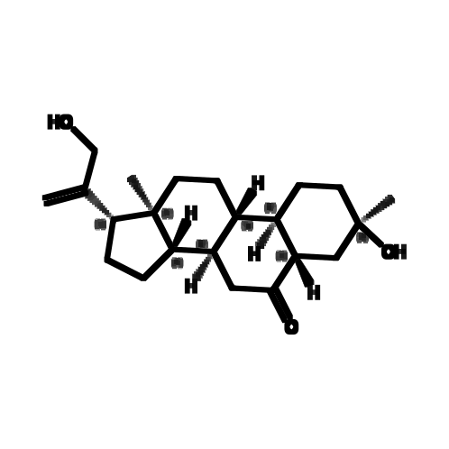 C=C(CO)[C@H]1CC[C@H]2[C@@H]3CC(=O)[C@H]4C[C@](C)(O)CC[C@@H]4[C@H]3CC[C@]12C